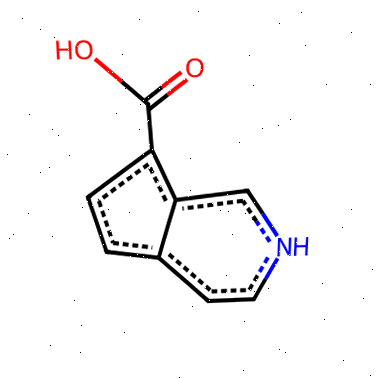 O=C(O)c1ccc2cc[nH]cc1-2